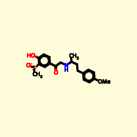 COc1ccc(CCC(C)NCC(=O)c2ccc(O)c([S+](C)[O-])c2)cc1